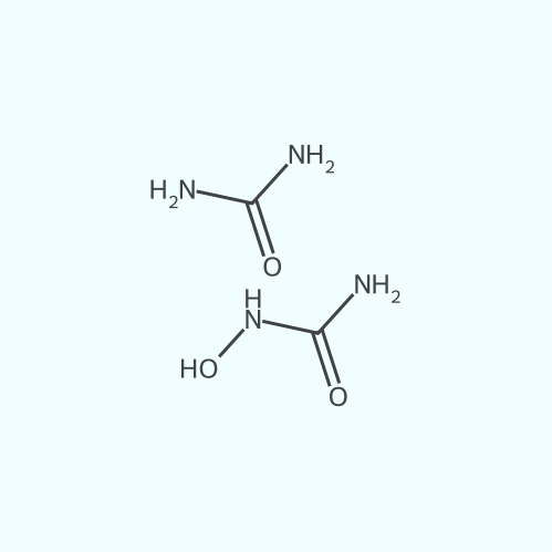 NC(=O)NO.NC(N)=O